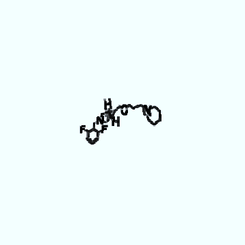 Fc1cccc(F)c1CN1C[C@@H]2C(COCCCN3CCCCC3)[C@@H]2C1